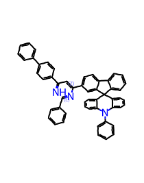 N=C(/C=C(\N=C\c1ccccc1)c1ccc2c(c1)C1(c3ccccc3-2)c2ccccc2N(c2ccccc2)c2ccccc21)c1ccc(-c2ccccc2)cc1